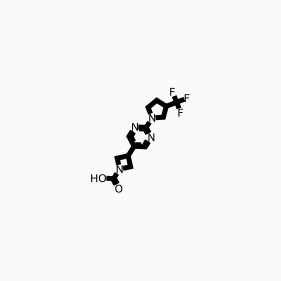 O=C(O)N1CC(c2cnc(N3CCC(C(F)(F)F)C3)nc2)C1